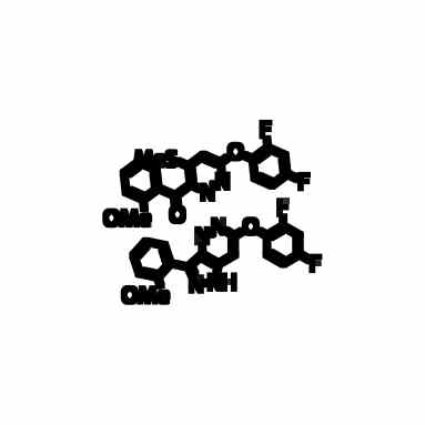 COc1ccccc1-c1n[nH]c2cc(Oc3ccc(F)cc3F)nnc12.COc1ccccc1C(=O)c1nnc(Oc2ccc(F)cc2F)cc1SC